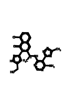 C[C@H](Nc1ncnc(N)c1-c1nnn(C)n1)c1cc2cccc(Cl)c2c(=O)n1-c1cc(CO)[nH]n1